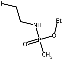 CCOP(C)(=O)NCCI